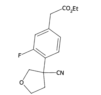 CCOC(=O)Cc1ccc(C2(C#N)CCOC2)c(F)c1